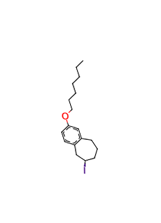 CCCCCCCOc1ccc2c(c1)CCC[C@@H](I)C2